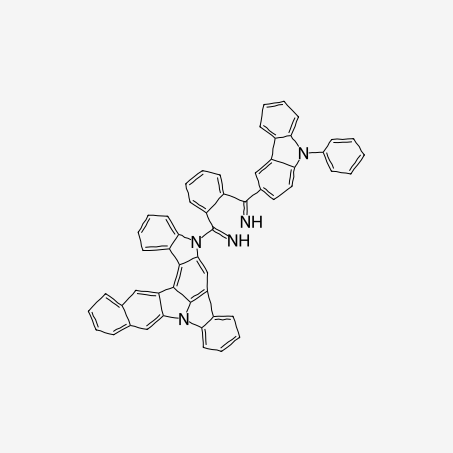 N=C(c1ccc2c(c1)c1ccccc1n2-c1ccccc1)c1ccccc1C(=N)n1c2ccccc2c2c3c4cc5ccccc5cc4n4c5ccccc5c(cc21)c34